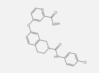 CNC(=O)c1cc(Oc2ccc3c(c2)CN(C(=O)Nc2ccc(Cl)cc2)CC3)ccn1